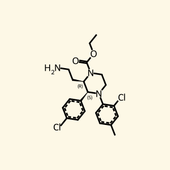 CCOC(=O)N1CCN(c2ccc(C)cc2Cl)[C@@H](c2ccc(Cl)cc2)[C@H]1CCN